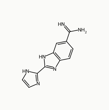 N=C(N)c1ccc2nc(-c3ncc[nH]3)[nH]c2c1